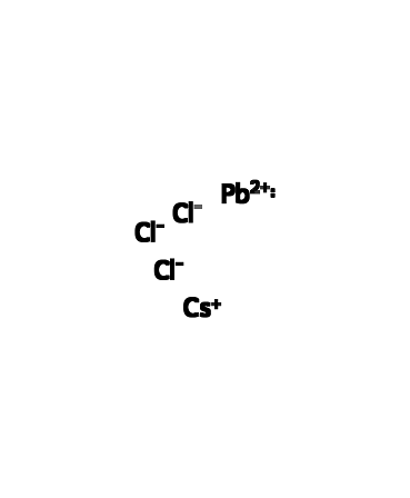 [Cl-].[Cl-].[Cl-].[Cs+].[Pb+2]